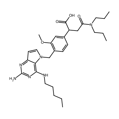 CCCCCNc1nc(N)nc2ccn(Cc3ccc(C(CC(=O)N(CCC)CCC)C(=O)O)cc3OC)c12